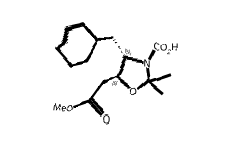 COC(=O)C[C@@H]1OC(C)(C)N(C(=O)O)[C@H]1CC1CCCCC1